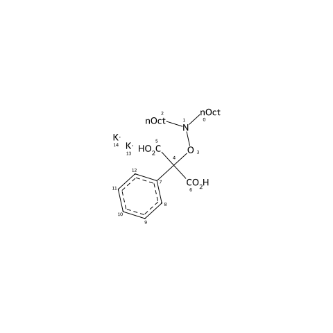 CCCCCCCCN(CCCCCCCC)OC(C(=O)O)(C(=O)O)c1ccccc1.[K].[K]